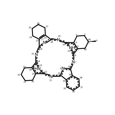 C[C@@H]1CCc2c(c3nc4nc(nc5[nH]c(nc6nc(nc2[nH]3)C2=C6CCCC2)c2c5CCCC2)-c2ccccc2-4)C1